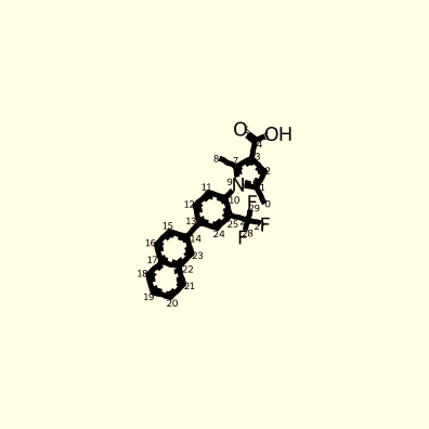 Cc1cc(C(=O)O)c(C)n1-c1ccc(-c2ccc3ccccc3c2)cc1C(F)(F)F